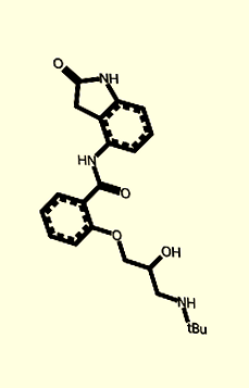 CC(C)(C)NCC(O)COc1ccccc1C(=O)Nc1cccc2c1CC(=O)N2